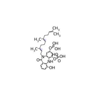 CC(C)=CCC/C(C)=C/CC/C(C)=C/CN1C(=O)c2cccc(O)c2Nc2c(OP(=O)(O)O)cc(OP(O)O)cc21